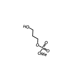 COS(=O)(=O)OCCCO